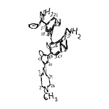 CN1CCN(c2coc(-c3cnc(N)c(-n4cc(C(N)=O)cn4)n3)c2)CC1